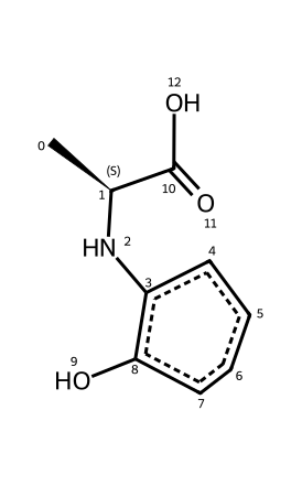 C[C@H](Nc1ccccc1O)C(=O)O